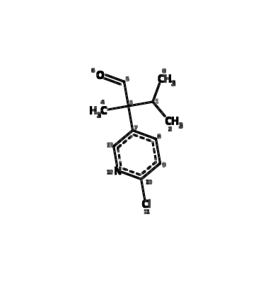 CC(C)C(C)(C=O)c1ccc(Cl)nc1